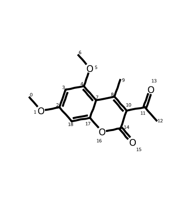 COc1cc(OC)c2c(C)c(C(C)=O)c(=O)oc2c1